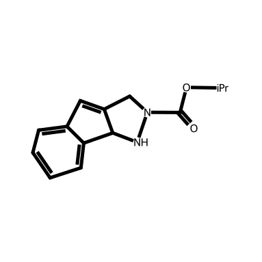 CC(C)OC(=O)N1CC2=Cc3ccccc3C2N1